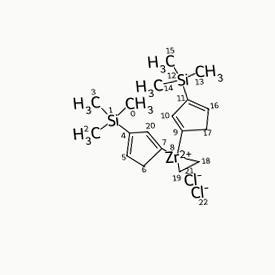 C[Si](C)(C)C1=CC[C]([Zr+2]2([C]3=CC([Si](C)(C)C)=CC3)[CH2][CH2]2)=C1.[Cl-].[Cl-]